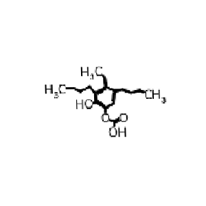 CCCCc1cc(OC(=O)O)c(O)c(CCCC)c1CC